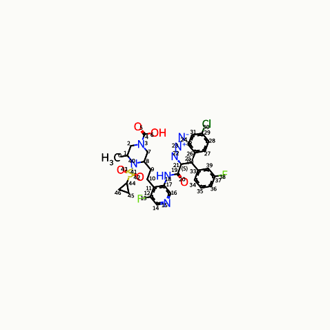 CC1CN(C(=O)O)CC(CCc2c(F)cncc2NC(=O)[C@@H](N=[N+]=[N-])[C@@H](c2ccc(Cl)cc2)c2cccc(F)c2)N1S(=O)(=O)C1CC1